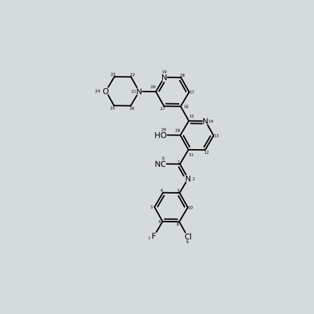 N#C/C(=N\c1ccc(F)c(Cl)c1)c1ccnc(-c2ccnc(N3CCOCC3)c2)c1O